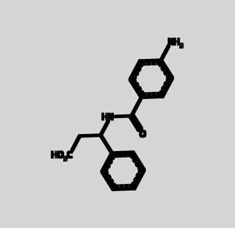 Nc1ccc(C(=O)NC(CC(=O)O)c2ccccc2)cc1